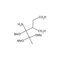 COC(C)(OC)C([SiH3])(OC)C(CC(=O)O)C(=O)O